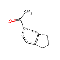 O=C(c1ccc2c(c1)CCC2)C(F)(F)F